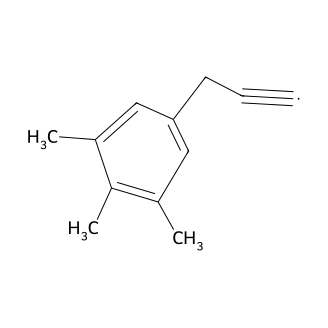 [C]#CCc1cc(C)c(C)c(C)c1